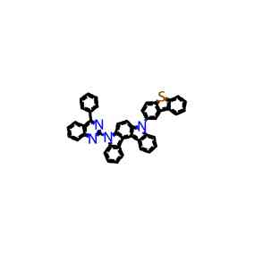 c1ccc(-c2nc(-n3c4ccccc4c4c5c6ccccc6n(-c6ccc7sc8ccccc8c7c6)c5ccc43)nc3ccccc23)cc1